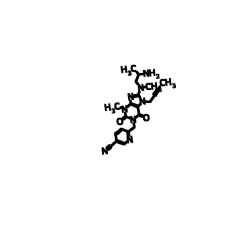 CC#CCn1c(N(C)CC(C)N)nc2c1c(=O)n(Cc1ccc(C#N)cn1)c(=O)n2C